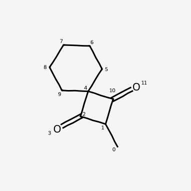 CC1C(=O)C2(CCCCC2)C1=O